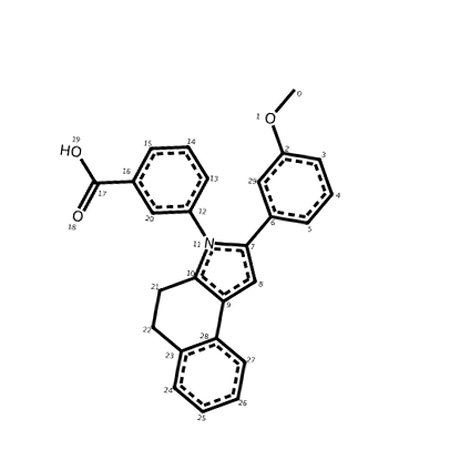 COc1cccc(-c2cc3c(n2-c2cccc(C(=O)O)c2)CCc2ccccc2-3)c1